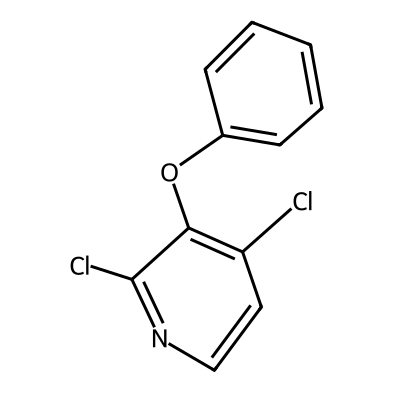 Clc1ccnc(Cl)c1Oc1ccccc1